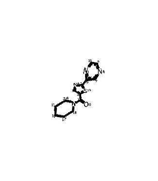 O=C(c1cnc(-c2cnccn2)s1)N1CCCCC1